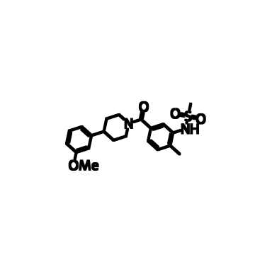 COc1cccc(C2CCN(C(=O)c3ccc(C)c(NS(C)(=O)=O)c3)CC2)c1